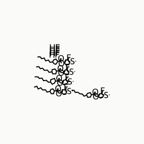 CCCCCCCC1CCC(C(=O)Oc2ccc([S])c(F)c2)CC1.CCCCCCCC1CCC(C(=O)Oc2ccc([S])c(F)c2)CC1.CCCCCCCC1CCC(C(=O)Oc2ccc([S])c(F)c2)CC1.CCCCCCCC1CCC(C(=O)Oc2ccc([S])c(F)c2)CC1.CCCCCCCC1CCC(C(=O)Oc2ccc([S])c(F)c2)CC1.F.F.F.F.F